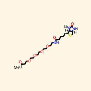 CCN1C(=O)N[C@H]2CS[C@@H](CCCCC(=O)NCCOCCOCCOCCOCCC(=O)OC)[C@H]21